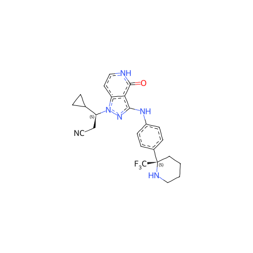 N#CC[C@@H](C1CC1)n1nc(Nc2ccc([C@]3(C(F)(F)F)CCCCN3)cc2)c2c(=O)[nH]ccc21